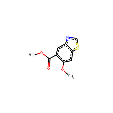 COC(=O)c1cc2ncsc2cc1OC